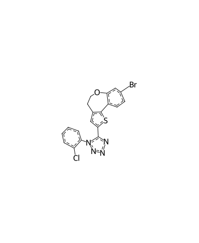 Clc1ccccc1-n1nnnc1-c1cc2c(s1)-c1ccc(Br)cc1OCC2